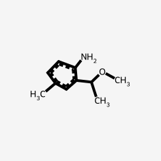 COC(C)c1cc(C)ccc1N